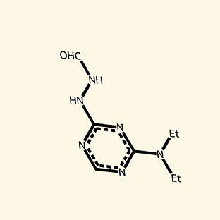 CCN(CC)c1ncnc(NNC=O)n1